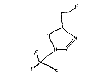 FCC1[C]N(C(F)(F)F)[C]=N1